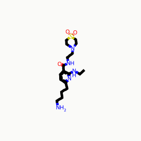 CCNc1nc(CCCCN)ccc1C(=O)NCCN1CCS(=O)(=O)CC1